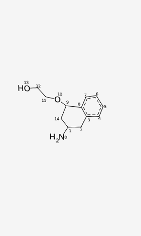 NC1Cc2ccccc2C(OCCO)C1